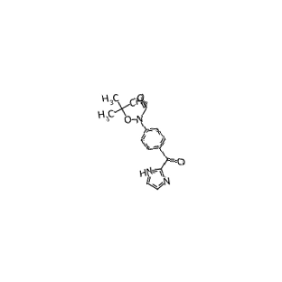 CC(C)(C)ON(C=O)c1ccc(C(=O)c2ncc[nH]2)cc1